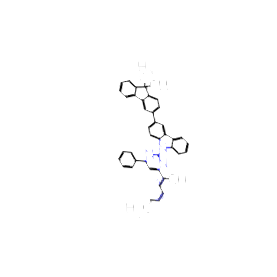 C=C/C=C\C=C(/C)c1cc(-c2ccccc2)nc(-n2c3ccccc3c3cc(-c4ccc5c(c4)-c4ccccc4C5(C)C)ccc32)n1